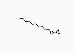 [CH2]CCCCCCCCCOC1[CH]C1